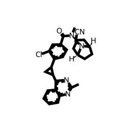 Cc1nc(C2CC2c2ccc(C(=O)N(C)C3C[C@H]4CC[C@@H](C3)N4CC#N)cc2Cl)c2ccccc2n1